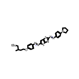 CC(CCOc1ccc(/N=N/c2cc3sc(/N=N/c4ccc(N5CCCC5)cc4)nc3s2)cc1)CC(C)(C)C